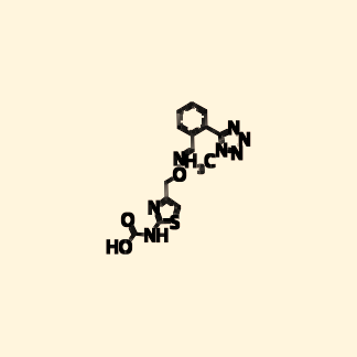 Cn1nnnc1-c1ccccc1C=NOCc1csc(NC(=O)O)n1